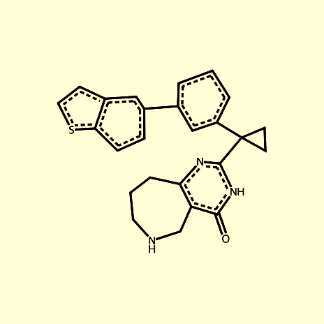 O=c1[nH]c(C2(c3cccc(-c4ccc5sccc5c4)c3)CC2)nc2c1CNCCC2